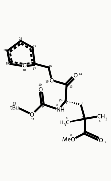 COC(=O)C(C)(C)C[C@H](NC(=O)OC(C)(C)C)C(=O)OCc1ccccc1